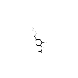 CC(=O)NC1COC(CN=[N+]=[N-])CC1O